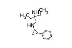 CCC(N)(CC)CNC1CC1c1ccccc1